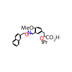 COc1ccc(CC(OC(C)C)C(=O)O)cc1/C=N/OCc1ccc2ccccc2c1